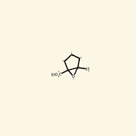 CCOC(=O)C12CCCC1(CC)O2